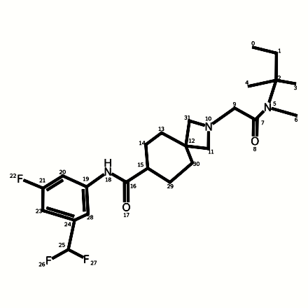 CCC(C)(C)N(C)C(=O)CN1CC2(CCC(C(=O)Nc3cc(F)cc(C(F)F)c3)CC2)C1